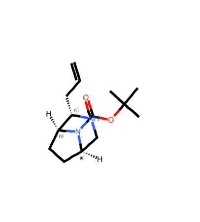 C=CC[C@@H]1NC[C@H]2CC[C@@H]1N2C(=O)OC(C)(C)C